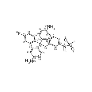 CS(=O)(=O)Nc1cccc(CC(c2ccc(F)cc2)(c2ccc(N)nc2)c2ccc(N)nc2)n1